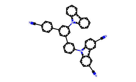 N#Cc1ccc(-c2cc(-c3cccc(-n4c5ccc(C#N)cc5c5cc(C#N)ccc54)c3)cc(-n3c4ccccc4c4ccccc43)c2)cc1